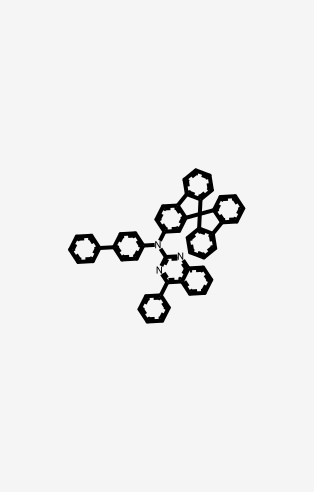 c1ccc(-c2ccc(N(c3ccc4c(c3)C3(c5ccccc5-c5ccccc53)c3ccccc3-4)c3nc(-c4ccccc4)c4ccccc4n3)cc2)cc1